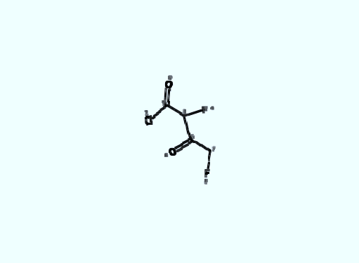 O=C(Cl)C(F)C(=O)CF